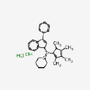 CC1=C(C)C(C)[C]([Zr]([CH]2C=C(c3ccccc3)c3ccccc32)=[Si]2CCCCC2)=C1C.Cl.Cl